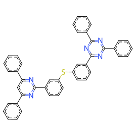 c1ccc(-c2cc(-c3ccccc3)nc(-c3cccc(Sc4cccc(-c5nc(-c6ccccc6)nc(-c6ccccc6)n5)c4)c3)n2)cc1